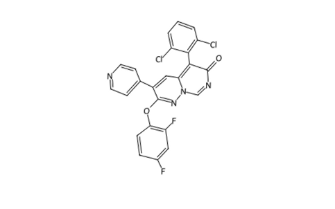 O=c1ncn2nc(Oc3ccc(F)cc3F)c(-c3ccncc3)cc2c1-c1c(Cl)cccc1Cl